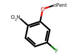 CCCCCOc1cc(F)ccc1[N+](=O)[O-]